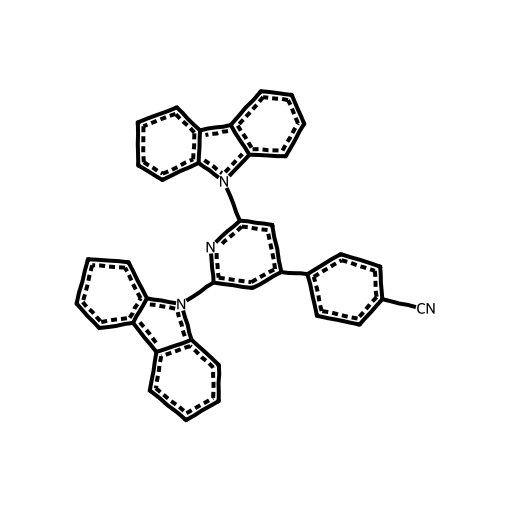 N#Cc1ccc(-c2cc(-n3c4ccccc4c4ccccc43)nc(-n3c4ccccc4c4ccccc43)c2)cc1